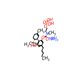 C=C(C)[C@@H]1CCC(C)=C[C@H]1c1c(O)cc(CCCCC)cc1OC(=O)N(C)CCOP(=O)(O)O.N.N